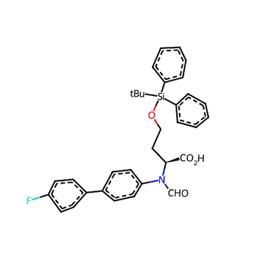 CC(C)(C)[Si](OCC[C@@H](C(=O)O)N(C=O)c1ccc(-c2ccc(F)cc2)cc1)(c1ccccc1)c1ccccc1